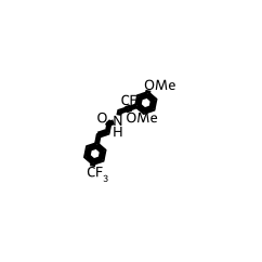 COc1cccc(C(CNC(=O)/C=C/c2ccc(C(F)(F)F)cc2)(OC)C(F)(F)F)c1